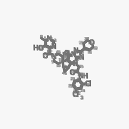 Cc1ncnc(C(=O)N2CC[C@]3(c4c(n(CC(=O)Nc5ccc(C(F)(F)F)cc5Cl)c5nc(C6=CCOCC6)nn5c4=O)C4CC43)[C@H](F)C2)c1O